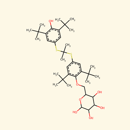 CC(C)(Sc1cc(C(C)(C)C)c(O)c(C(C)(C)C)c1)Sc1cc(C(C)(C)C)c(OCC2OC(O)C(O)C(O)C2O)c(C(C)(C)C)c1